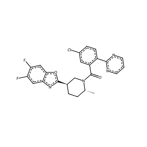 C[C@@H]1CC[C@@H](c2nc3cc(F)c(F)cc3o2)CN1C(=O)c1cc(Cl)ccc1-c1ncccn1